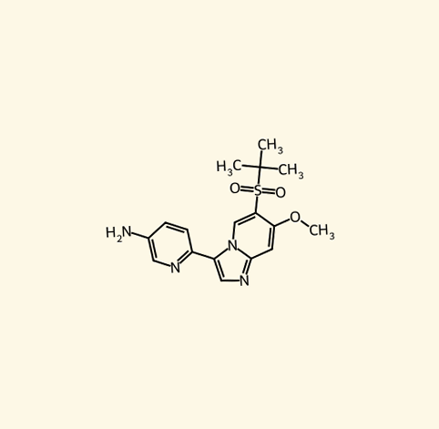 COc1cc2ncc(-c3ccc(N)cn3)n2cc1S(=O)(=O)C(C)(C)C